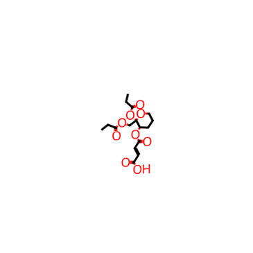 CCC(=O)OCC1(OC(=O)CC)OCCCC1OC(=O)C=CC(=O)O